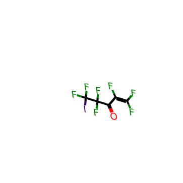 O=C(C(F)=C(F)F)C(F)(F)C(F)(F)I